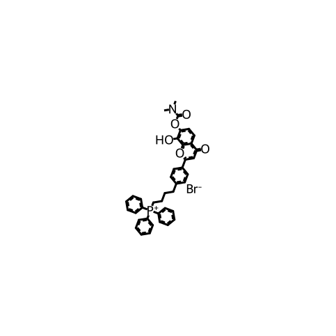 CN(C)C(=O)Oc1ccc2c(=O)cc(-c3ccc(CCCC[P+](c4ccccc4)(c4ccccc4)c4ccccc4)cc3)oc2c1O.[Br-]